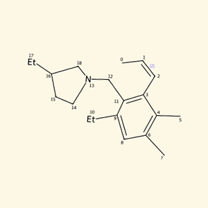 C/C=C\c1c(C)c(C)cc(CC)c1CN1CCC(CC)C1